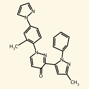 Cc1cc(-c2nn(-c3ccc(-n4cccn4)cc3C)ccc2=O)n(-c2ccccc2)n1